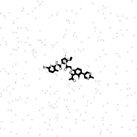 C=C[C@@H]1[C@@H](C)C[C@@H](C(=O)Nc2nc(Br)ccc2C)N1C(=O)Cn1nc(C(C)=O)c2c(F)c(-c3cnc(C)nc3)ccc21